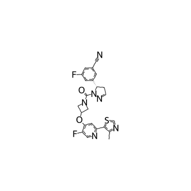 Cc1ncsc1-c1cc(OC2CN(C(=O)N3N=CC[C@H]3c3cc(F)cc(C#N)c3)C2)c(F)cn1